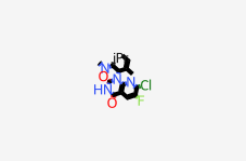 C=NC(C(C)C)C(/C(C)=C\C)n1c(=O)[nH]c(=O)c2cc(F)c(Cl)nc21